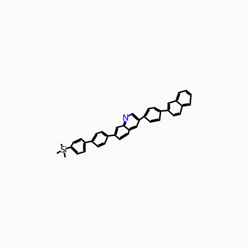 C[Si](C)(C)c1ccc(-c2ccc(-c3ccc4cc(-c5ccc(-c6ccc7ccccc7c6)cc5)cnc4c3)cc2)cc1